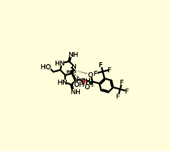 C[C@]1(O)[C@@H](OC(=O)c2ccc(C(F)(F)F)cc2C(F)(F)F)CN2C(=N)NC(CO)C3NC(=N)N(O)C321